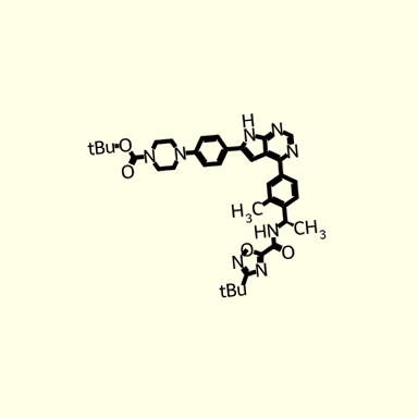 Cc1cc(-c2ncnc3[nH]c(-c4ccc(N5CCN(C(=O)OC(C)(C)C)CC5)cc4)cc23)ccc1[C@@H](C)NC(=O)c1nc(C(C)(C)C)no1